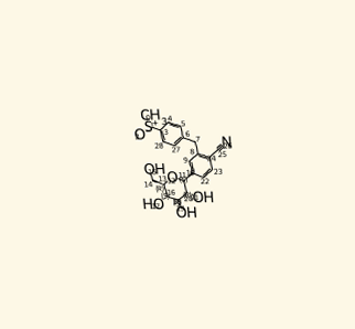 C[S+]([O-])c1ccc(Cc2cc([C@@H]3O[C@H](CO)[C@@H](O)[C@H](O)[C@H]3O)ccc2C#N)cc1